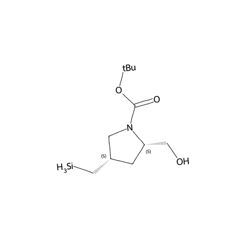 CC(C)(C)OC(=O)N1C[C@@H](C[SiH3])C[C@H]1CO